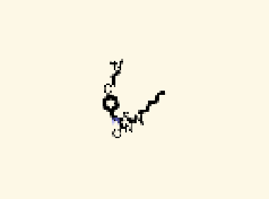 CCCCCCN(C)C1=NC(=O)/C(=C/c2ccc(OCCCN(C)C)cc2)S1